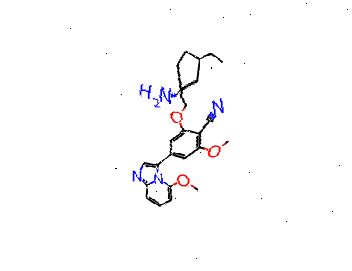 CC[C@@H]1CC[C@@](N)(COc2cc(-c3cnc4cccc(OC)n34)cc(OC)c2C#N)C1